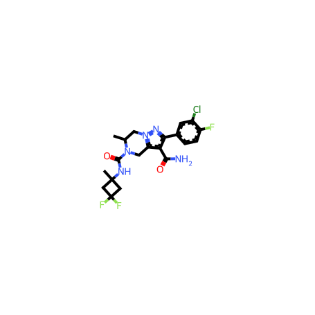 CC1Cn2nc(-c3ccc(F)c(Cl)c3)c(C(N)=O)c2CN1C(=O)NC1(C)CC(F)(F)C1